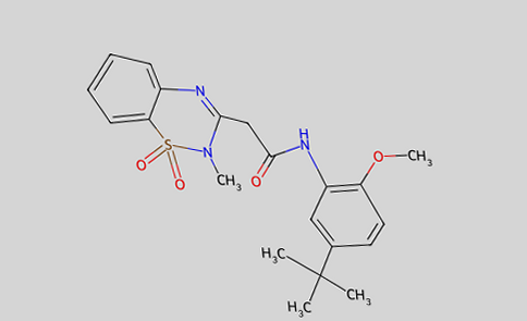 COc1ccc(C(C)(C)C)cc1NC(=O)CC1=Nc2ccccc2S(=O)(=O)N1C